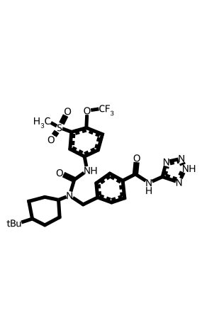 CC(C)(C)C1CCC(N(Cc2ccc(C(=O)Nc3nn[nH]n3)cc2)C(=O)Nc2ccc(OC(F)(F)F)c(S(C)(=O)=O)c2)CC1